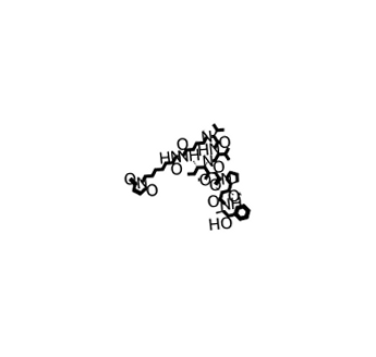 CC[C@H](C)[C@@H]([C@@H](CC(=O)N1CCC[C@H]1[C@H](OC)[C@@H](C)C(=O)N[C@H](C)[C@@H](O)c1ccccc1)OC)N(C)C(=O)[C@@H](NC(=O)[C@H](C(C)C)N(C)CCCC(=O)NNC(=O)CCCCCN1C(=O)C=CC1=O)C(C)C